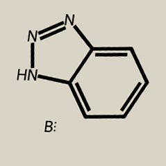 [B].c1ccc2[nH]nnc2c1